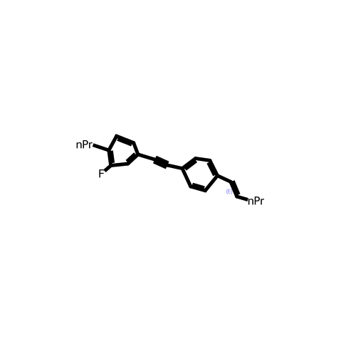 CCC/C=C/c1ccc(C#Cc2ccc(CCC)c(F)c2)cc1